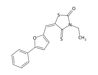 CCN1C(=O)S/C(=C/c2ccc(-c3ccccc3)o2)C1=S